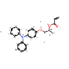 C=CC(=O)OC(C)COc1ccc(N(c2ccccc2)c2ccccc2)cc1